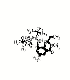 CCc1nc2c([C@H](CO[Si](C)(C)C(C)(C)C)N[S@+]([O-])C(C)(C)C)cc(C)cc2c(=O)n1C